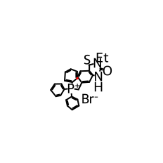 CCn1c(=O)[nH]c2cc(C[P+](c3ccccc3)(c3ccccc3)c3ccccc3)ccc2c1=S.[Br-]